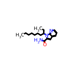 CCCCCCCC(CC)n1c(C(N)=O)cc2cccnc21